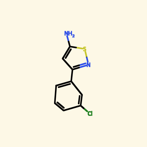 Nc1cc(-c2cccc(Cl)c2)ns1